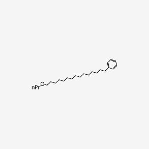 CCCOCCCCCCCCCCCCCCCc1ccccc1